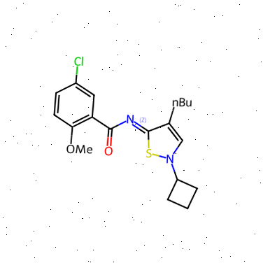 CCCCc1cn(C2CCC2)s/c1=N\C(=O)c1cc(Cl)ccc1OC